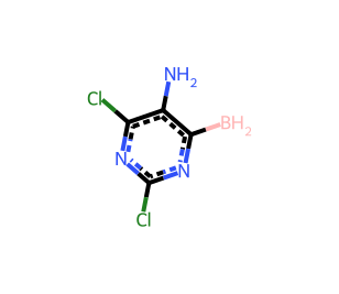 Bc1nc(Cl)nc(Cl)c1N